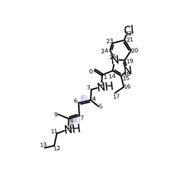 C=C(NC/C(C)=C/C=C(\C)NCCC)c1c(CC)nc2cc(Cl)ccn12